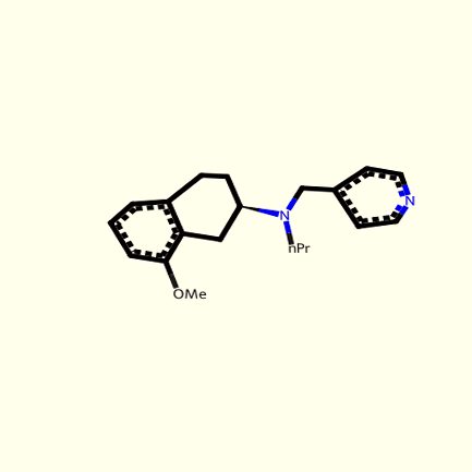 CCCN(Cc1ccncc1)[C@@H]1CCc2cccc(OC)c2C1